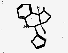 c1ccc2c(c1)N[C@H](c1nccs1)[C@@H]1CCN[C@H]21